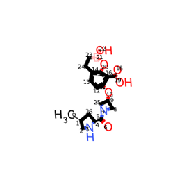 C[C@H]1CN[C@H](C(=O)N2CC(Oc3ccc4c(c3C(=O)O)OB(O)CC4)C2)C1